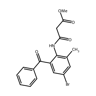 COC(=O)CC(=O)Nc1c(C)cc(Br)cc1C(=O)c1ccccc1